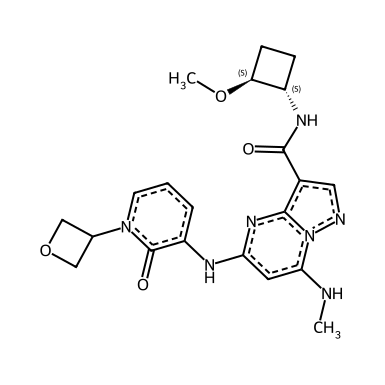 CNc1cc(Nc2cccn(C3COC3)c2=O)nc2c(C(=O)N[C@H]3CC[C@@H]3OC)cnn12